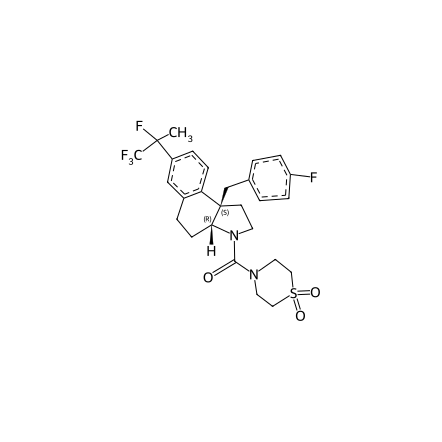 CC(F)(c1ccc2c(c1)CC[C@H]1N(C(=O)N3CCS(=O)(=O)CC3)CC[C@@]21Cc1ccc(F)cc1)C(F)(F)F